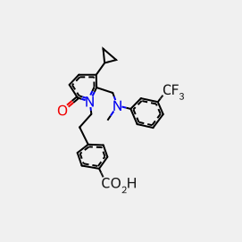 CN(Cc1c(C2CC2)ccc(=O)n1CCc1ccc(C(=O)O)cc1)c1cccc(C(F)(F)F)c1